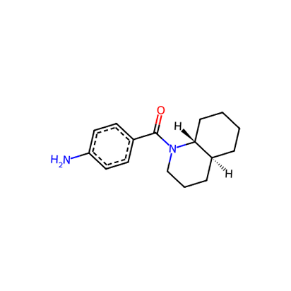 Nc1ccc(C(=O)N2CCC[C@@H]3CCCC[C@H]32)cc1